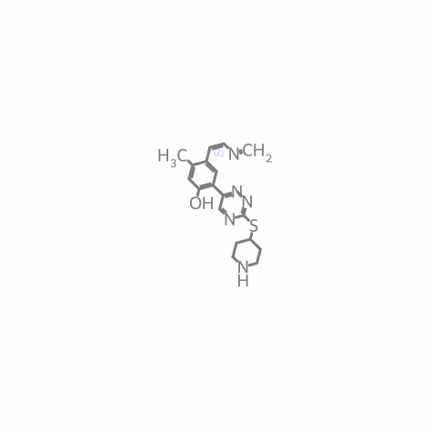 C=N/C=C\c1cc(-c2cnc(SC3CCNCC3)nn2)c(O)cc1C